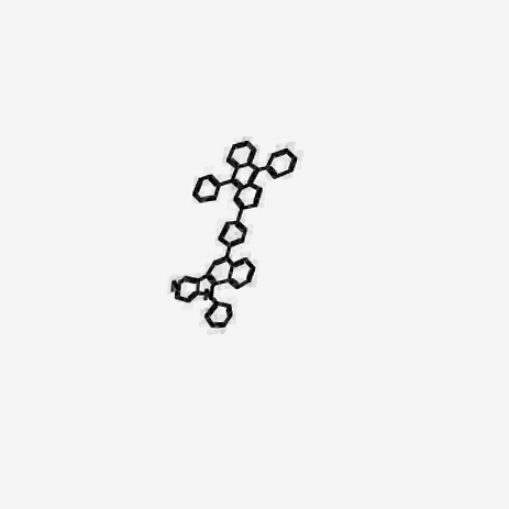 c1ccc(-c2c3ccccc3c(-c3ccccc3)c3cc(-c4ccc(-c5cc6c7cnccc7n(-c7ccccc7)c6c6ccccc56)cc4)ccc23)cc1